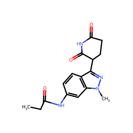 CCC(=O)Nc1ccc2c(C3CCC(=O)NC3=O)nn(C)c2c1